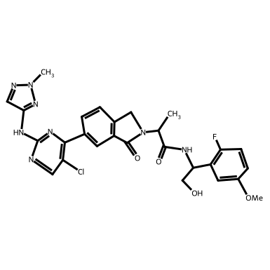 COc1ccc(F)c(C(CO)NC(=O)C(C)N2Cc3ccc(-c4nc(Nc5cnn(C)n5)ncc4Cl)cc3C2=O)c1